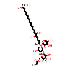 CCCC[C@H](CCC[C@H](O)[C@H](O)CCCCCCCCCCCCCC[C@H](O)C(=O)O)O[C@H]1OC[C@H](O)[C@@H](O)[C@@H]1O[C@H]1OC[C@H](O)[C@@H](O)[C@@H]1O[C@H]1O[C@@H](COC(=O)CC(C)C)[C@H](OC(C)=O)[C@@H](O)[C@@H]1O